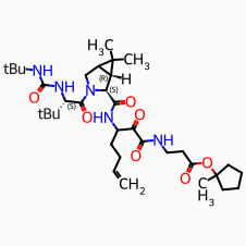 C=CCCC(NC(=O)[C@@H]1[C@@H]2C(CN1C(=O)[C@@H](NC(=O)NC(C)(C)C)C(C)(C)C)C2(C)C)C(=O)C(=O)NCCC(=O)OC1(C)CCCC1